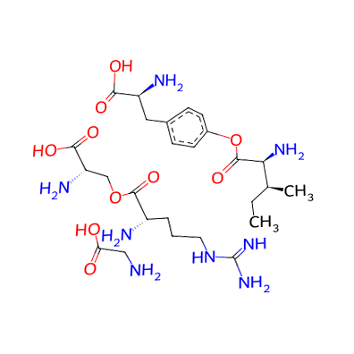 CC[C@H](C)[C@H](N)C(=O)Oc1ccc(C[C@H](N)C(=O)O)cc1.N=C(N)NCCC[C@H](N)C(=O)OC[C@H](N)C(=O)O.NCC(=O)O